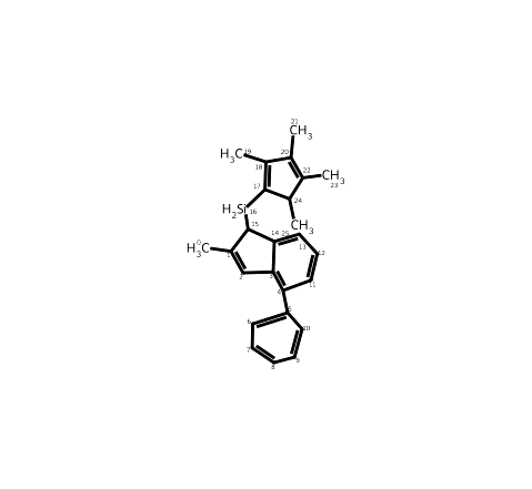 CC1=Cc2c(-c3ccccc3)cccc2C1[SiH2]C1=C(C)C(C)=C(C)C1C